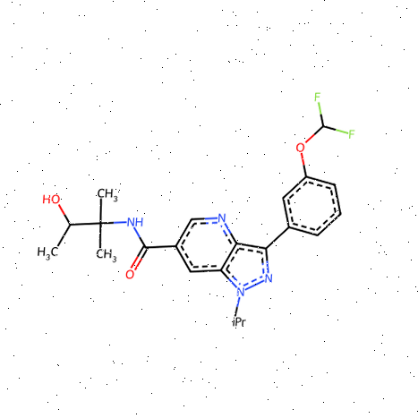 CC(C)n1nc(-c2cccc(OC(F)F)c2)c2ncc(C(=O)NC(C)(C)C(C)O)cc21